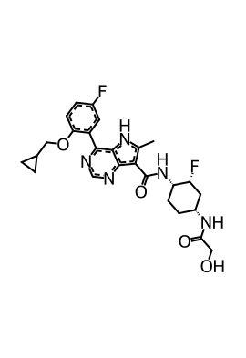 Cc1[nH]c2c(-c3cc(F)ccc3OCC3CC3)ncnc2c1C(=O)N[C@H]1CC[C@@H](NC(=O)CO)C[C@H]1F